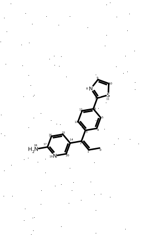 C/C=C(\c1ccc(-c2nccs2)cc1)c1ccc(N)nc1